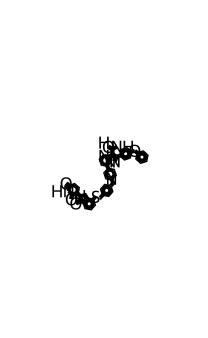 NC(=O)c1c(-c2ccc(Oc3ccccc3)cc2)nn2c1NCCC2C1CCN(Cc2ccc(CSc3cccc4c3CN(C3CCC(=O)NC3=O)C4=O)cc2)CC1